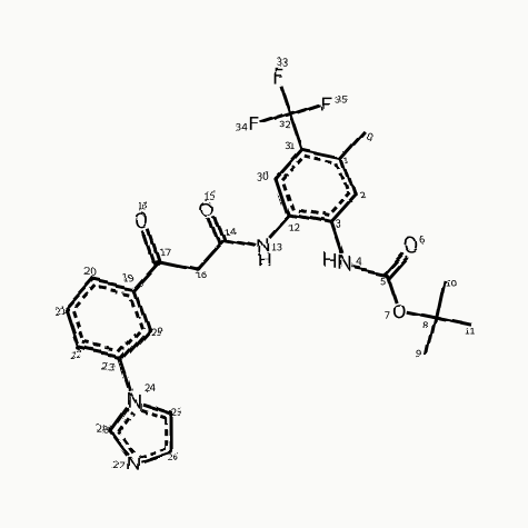 Cc1cc(NC(=O)OC(C)(C)C)c(NC(=O)CC(=O)c2cccc(-n3ccnc3)c2)cc1C(F)(F)F